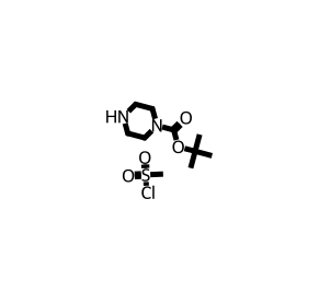 CC(C)(C)OC(=O)N1CCNCC1.CS(=O)(=O)Cl